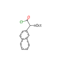 CCCCCCCCC(C(=O)Cl)c1ccc2ccccc2c1